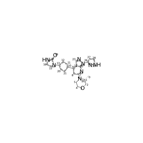 C[C@@H]1COCCN1c1cc(-c2ccc(-n3cc[nH]c3=O)cc2)c2cnn(-c3cc[nH]n3)c2n1